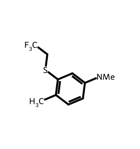 CNc1ccc(C)c(SCC(F)(F)F)c1